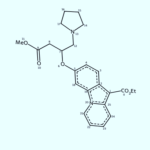 CCOC(=O)c1c2ccc(OC(CC(=O)OC)CN3CCCC3)cc2n2ccccc12